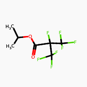 CC(C)OC(=O)C(F)(C(F)(F)F)C(F)(F)F